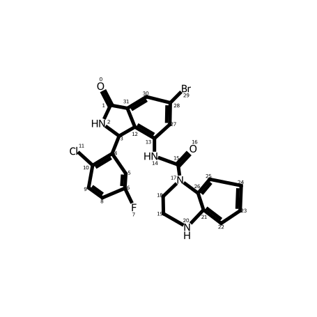 O=C1NC(c2cc(F)ccc2Cl)c2c(NC(=O)N3CCNc4ccccc43)cc(Br)cc21